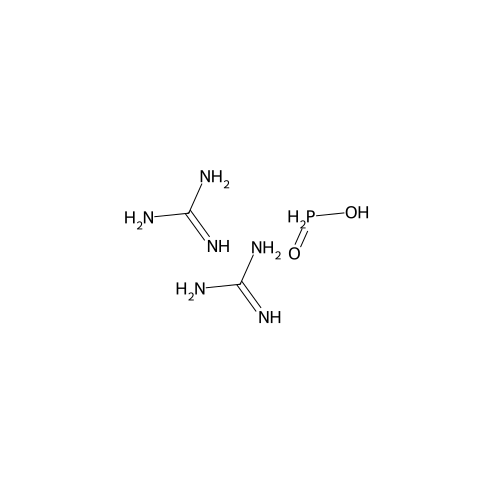 N=C(N)N.N=C(N)N.O=[PH2]O